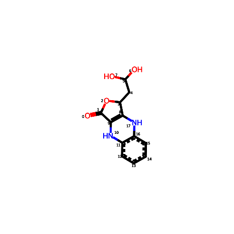 O=C1OC(CC(O)O)C2=C1Nc1ccccc1N2